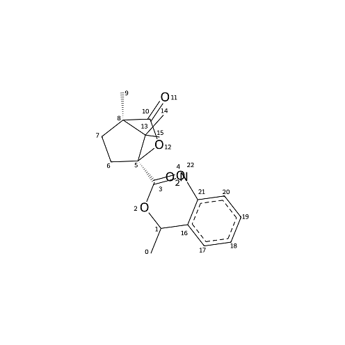 CC(OC(=O)[C@@]12CC[C@@](C)(C(=O)O1)C2(C)C)c1ccccc1[N+](=O)[O-]